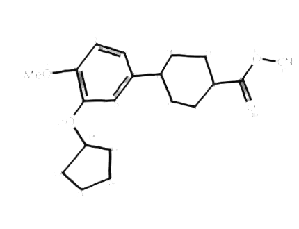 COc1ccc(C2CCC(C(=O)OC#N)CC2)cc1OC1CCCC1